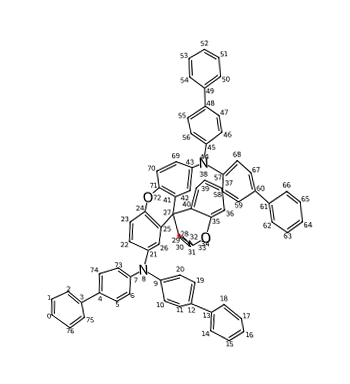 c1ccc(-c2ccc(N(c3ccc(-c4ccccc4)cc3)c3ccc4c(c3)C3(c5ccccc5Oc5ccccc53)c3cc(N(c5ccc(-c6ccccc6)cc5)c5ccc(-c6ccccc6)cc5)ccc3O4)cc2)cc1